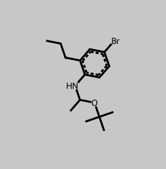 CCCc1cc(Br)ccc1NC(C)OC(C)(C)C